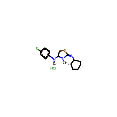 CC(=O)N(c1ccc(F)cc1)C1CSC(=NC2CCCCC2)N1C.Cl